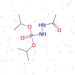 CC(=O)NNP(=O)(OC(C)C)OC(C)C